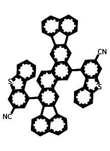 N#Cc1cc(-c2cc3c4cc5c(c(-c6cc(C#N)cc7sc8ccccc8c67)c4ccc3c3cc4c(cc23)-c2cccc3cccc-4c23)-c2cccc3cccc-5c23)c2c(c1)sc1ccccc12